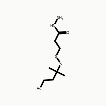 CC(=O)CCC(C)(C)SSCCC(=O)NN